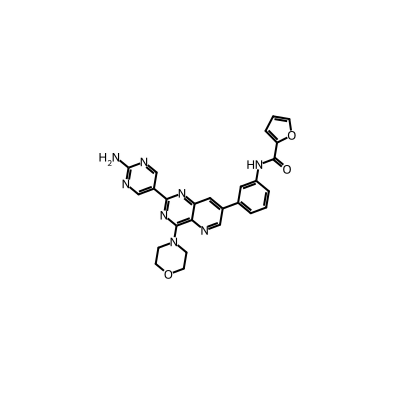 Nc1ncc(-c2nc(N3CCOCC3)c3ncc(-c4cccc(NC(=O)c5ccco5)c4)cc3n2)cn1